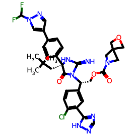 CC(C)(C)C[C@]1(c2ccc(-c3cnn(C(F)F)c3)cc2)NC(=N)N([C@H](COC(=O)N2CC3(COC3)C2)c2ccc(Cl)c(-c3ncn[nH]3)c2)C1=O